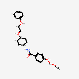 COCOc1ccc(C(=O)NC[C@H]2CC[C@@H](OCCOc3ccccc3)CC2)cc1